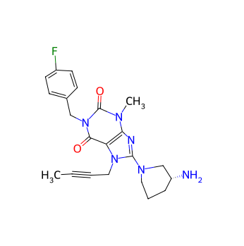 CC#CCn1c(N2CCC[C@@H](N)C2)nc2c1c(=O)n(Cc1ccc(F)cc1)c(=O)n2C